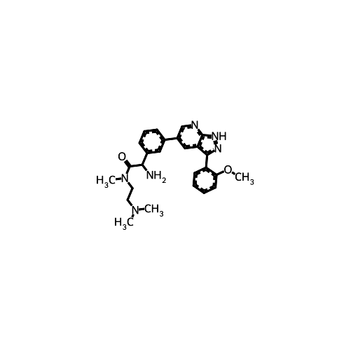 COc1ccccc1-c1n[nH]c2ncc(-c3cccc(C(N)C(=O)N(C)CCN(C)C)c3)cc12